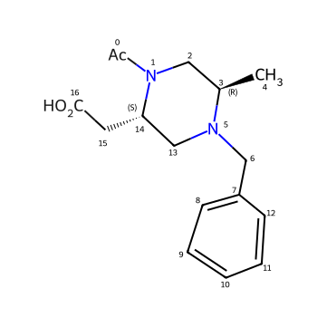 CC(=O)N1C[C@@H](C)N(Cc2ccccc2)C[C@@H]1CC(=O)O